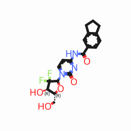 O=C(Nc1ccn(C2O[C@H](CO)[C@@H](O)C2(F)F)c(=O)n1)c1ccc2c(c1)CCC2